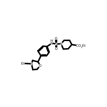 CCOC(=O)C1CCN(S(=O)(=O)Nc2ccc(C3CN(CC)CCO3)cc2)CC1